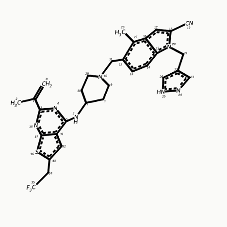 C=C(C)c1nc(NC2CCN(Cc3ccc4c(cc(C#N)n4Cc4cn[nH]c4)c3C)CC2)c2cc(CC(F)(F)F)sc2n1